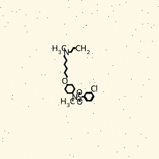 C=CCN(C)CCCCCCOC1CCC(N(C)S(=O)(=O)c2cccc(Cl)c2)CC1